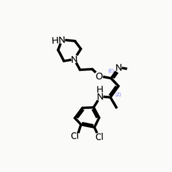 C/N=C(\C=C(\C)Nc1ccc(Cl)c(Cl)c1)OCCN1CCNCC1